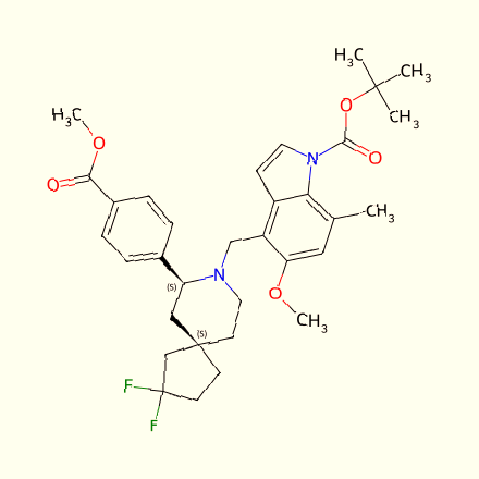 COC(=O)c1ccc([C@@H]2C[C@@]3(CCN2Cc2c(OC)cc(C)c4c2ccn4C(=O)OC(C)(C)C)CCC(F)(F)C3)cc1